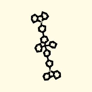 c1ccc(C(c2ccccc2)(c2ccc(-c3ccc(-n4c5ccccc5c5ccccc54)cc3)cc2)c2ccc(-c3ccc(-n4c5ccccc5c5ccccc54)cc3)cc2)cc1